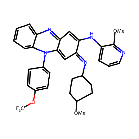 COc1ncccc1Nc1cc2nc3ccccc3n(-c3ccc(OC(F)(F)F)cc3)c-2cc1=NC1CCC(OC)CC1